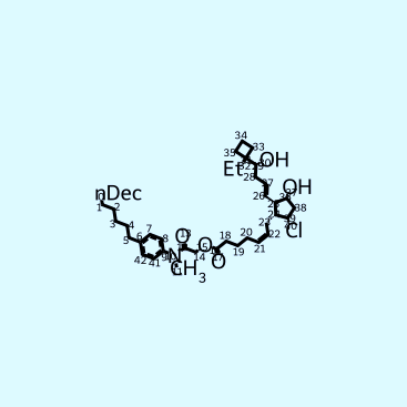 CCCCCCCCCCCCCCCc1ccc(N(C)C(=O)COC(=O)CCC/C=C\C[C@@H]2[C@@H](/C=C/C[C@H](O)C3(CC)CCC3)[C@H](O)C[C@H]2Cl)cc1